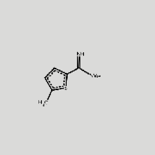 CSC(=N)c1ccc(C)s1